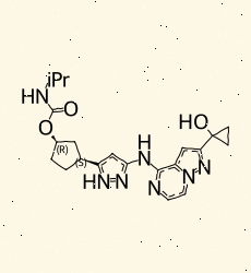 CC(C)NC(=O)O[C@@H]1CC[C@H](c2cc(Nc3nccn4nc(C5(O)CC5)cc34)n[nH]2)C1